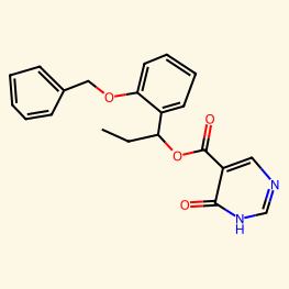 CCC(OC(=O)c1cnc[nH]c1=O)c1ccccc1OCc1ccccc1